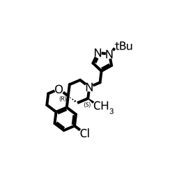 C[C@H]1C[C@@]2(CCN1Cc1cnn(C(C)(C)C)c1)OCCc1ccc(Cl)cc12